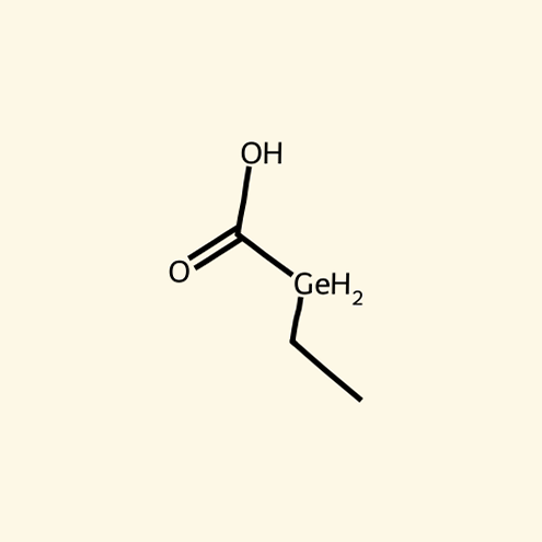 C[CH2][GeH2][C](=O)O